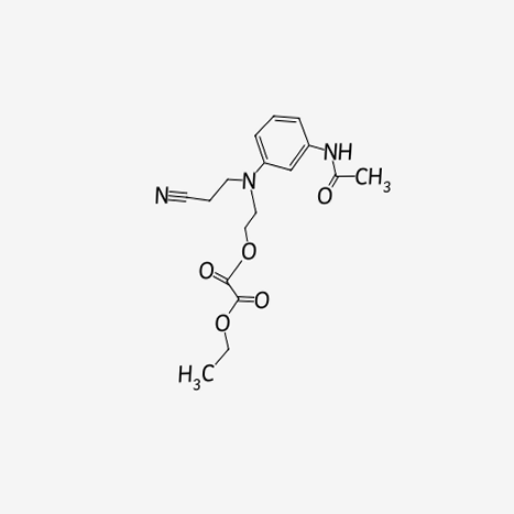 CCOC(=O)C(=O)OCCN(CCC#N)c1cccc(NC(C)=O)c1